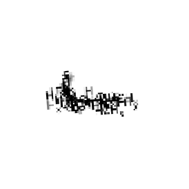 CC(=O)NC(CCC(=O)OC(C)(C)C)C(=O)NCCNC(=O)OCCN1C(=O)[C@@H](NC(=O)C(C)(O)C(=O)NCC(F)(F)C(F)(F)F)[C@@H](C)Oc2ccc(F)cc21